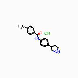 Cc1ccc(C(=O)Nc2ccc(C3CCNC3)cc2)cc1.Cl